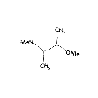 CNC(C)C(C)OC